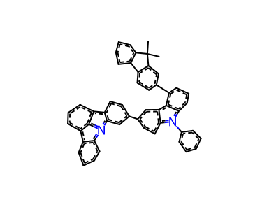 CC1(C)c2ccccc2-c2ccc(-c3cccc4c3c3cc(-c5ccc6c7cccc8c9ccccc9n(c6c5)c87)ccc3n4-c3ccccc3)cc21